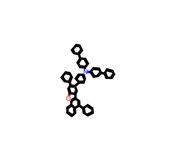 c1ccc(-c2ccc(N(c3ccc(-c4ccccc4)cc3)c3ccc(-c4cc5c(cc4-c4ccccc4)oc4c6ccccc6c(-c6ccccc6)cc54)cc3)cc2)cc1